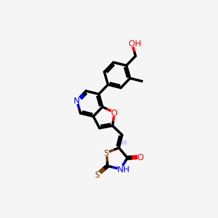 Cc1cc(-c2cncc3cc(/C=C4\SC(=S)NC4=O)oc23)ccc1CO